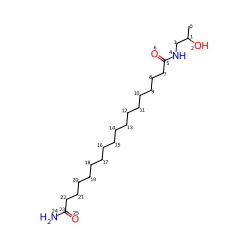 CC(O)CNC(=O)CCCCCCCCCCCCCCCCC(N)=O